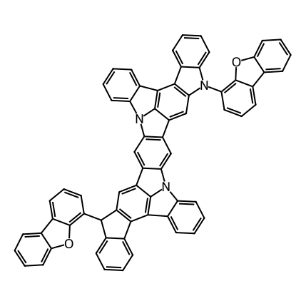 c1ccc2c(c1)-c1c(cc3c4cc5c(cc4n4c6ccccc6c1c34)c1cc3c(c4ccccc4n3-c3cccc4c3oc3ccccc34)c3c4ccccc4n5c13)C2c1cccc2c1oc1ccccc12